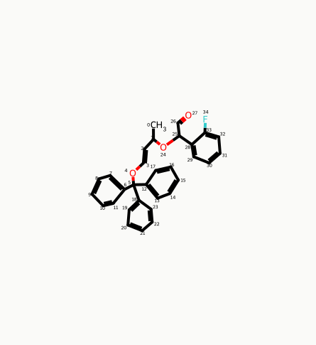 CC(C=COC(c1ccccc1)(c1ccccc1)c1ccccc1)OC(C=O)c1ccccc1F